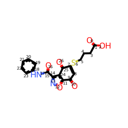 O=C(O)CCCSC1=CC(=O)c2onc(C(=O)Nc3ccccc3)c2C1=O